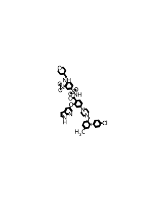 CC1=CC[C@@H](CN2CCN(c3ccc(C(=O)NS(=O)(=O)c4ccc(NCC5CCOCC5)c([N+](=O)[O-])c4)c(Oc4cnc5[nH]ccc5c4)c3)CC2)[C@H](c2ccc(Cl)cc2)C1